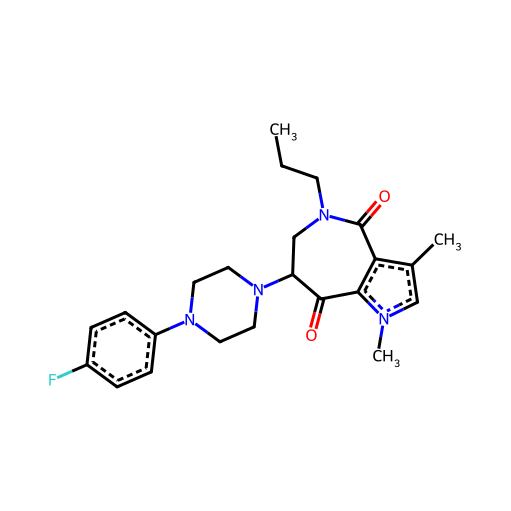 CCCN1CC(N2CCN(c3ccc(F)cc3)CC2)C(=O)c2c(c(C)cn2C)C1=O